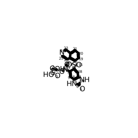 O=S(=O)(O)O.O=c1[nH]c2cc([N+](=O)[O-])c(S(=O)(=O)c3cccc4cnccc34)cc2[nH]1